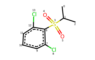 CC(C)S(=O)(=O)c1c(Cl)cccc1Cl